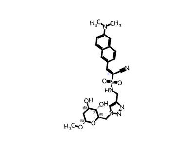 CO[C@@H]1C[C@@H](O)[C@H](O)[C@@H](Cn2cc(CNS(=O)(=O)/C(C#N)=C/c3ccc4cc(N(C)C)ccc4c3)nn2)O1